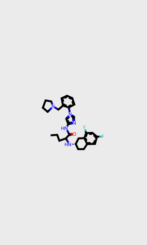 CCCC(N[C@H]1CCc2cc(F)cc(F)c2C1)C(=O)Nc1cn(-c2ccccc2CN2CCCC2)cn1